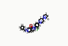 C[C@H]1CCCN1C1CCN(c2ccc(N3CCC4(CCN(CC5CCCC5)CC4)C3=O)c(F)c2)CC1